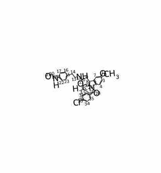 COc1ccc2c(c1)c(CC(=O)NCCc1ccc(NC=O)cc1)c(C)n2C(=O)c1ccc(Cl)cc1